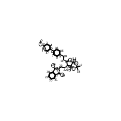 COc1ccc(-c2ccc(CC[C@H]3O[C@H]4OC(C)(C)O[C@H]4[C@H]3CCN3C(=O)c4ccccc4C3=O)cc2)cn1